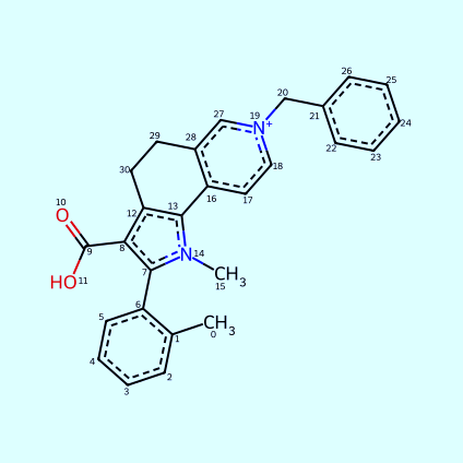 Cc1ccccc1-c1c(C(=O)O)c2c(n1C)-c1cc[n+](Cc3ccccc3)cc1CC2